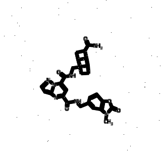 Cn1c(=O)oc2ccc(CNC(=O)c3cc(C(=O)NCC45C6C7C4C4C5C6C74C(N)=O)n4nccc4n3)cc21